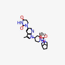 Cc1cn(C2CCN(CC3C4CCC3CN(C(=O)OC(C)(C)C)C4)CC2)c2ncc(N3CCC(=O)NC3=O)cc12